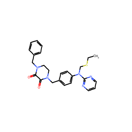 CCSCN(c1ccc(CN2CCN(Cc3ccccc3)C(=O)C2=O)cc1)c1ncccn1